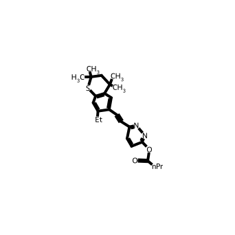 CCCC(=O)Oc1ccc(C#Cc2cc3c(cc2CC)SC(C)(C)CC3(C)C)nn1